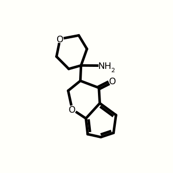 NC1(C2COc3ccccc3C2=O)CCOCC1